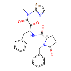 CN(C(=O)C(=O)C(Cc1ccccc1)NC(=O)[C@@H]1CCC(=O)N1Cc1ccccc1)c1nccs1